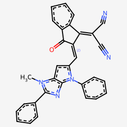 Cn1c(-c2ccccc2)nc2c1cc(/C=C1\C(=O)c3ccccc3C1=C(C#N)C#N)n2-c1ccccc1